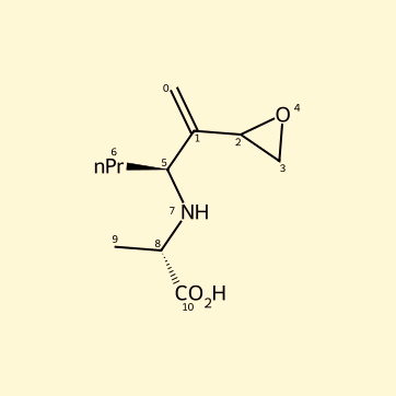 C=C(C1CO1)[C@H](CCC)N[C@@H](C)C(=O)O